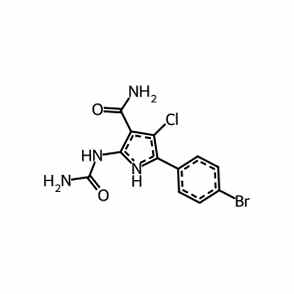 NC(=O)Nc1[nH]c(-c2ccc(Br)cc2)c(Cl)c1C(N)=O